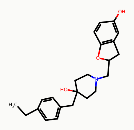 CCc1ccc(CC2(O)CCN(CC3Cc4cc(O)ccc4O3)CC2)cc1